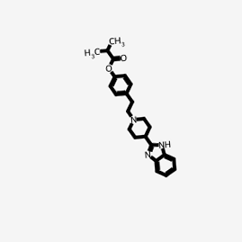 CC(C)C(=O)Oc1ccc(CCN2CCC(c3nc4ccccc4[nH]3)CC2)cc1